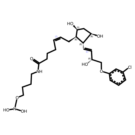 O=C(CCC/C=C\C[C@@H]1[C@@H](/C=C/[C@@H](O)COc2cccc(Cl)c2)[C@H](O)C[C@@H]1O)NCCCCON(O)O